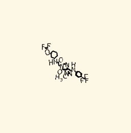 Cn1nc(Nc2ccc(C(F)(F)F)cc2)c2ncn(CC(=O)NC3CCCC(OC(F)F)C3)c(=O)c21